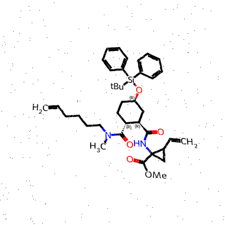 C=CCCCCN(C)C(=O)[C@@H]1CC[C@@H](O[Si](c2ccccc2)(c2ccccc2)C(C)(C)C)C[C@H]1C(=O)NC1(C(=O)OC)CC1C=C